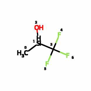 C[SiH](O)C(F)(F)F